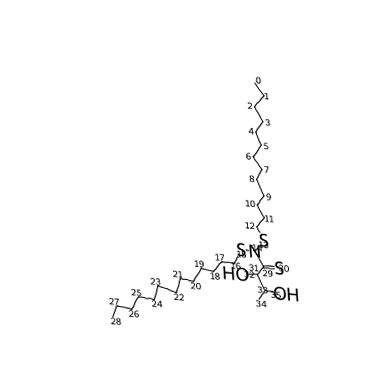 CCCCCCCCCCCCCSN(SCCCCCCCCCCCCC)C(=S)C(O)C(C)O